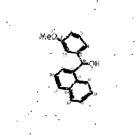 COc1cccc(C(O)c2cccc3ccccc23)c1